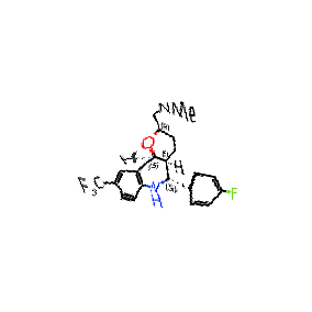 CNC[C@H]1CC[C@@H]2[C@H](O1)c1cc(C(F)(F)F)ccc1N[C@H]2C1C=CC(F)=CC1